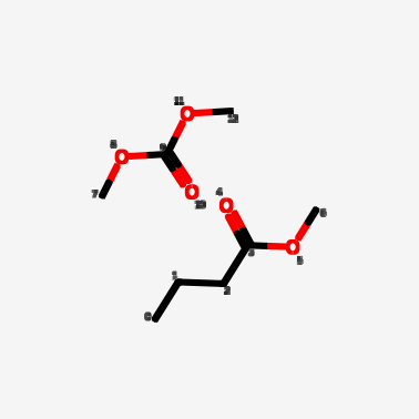 CCCC(=O)OC.COC(=O)OC